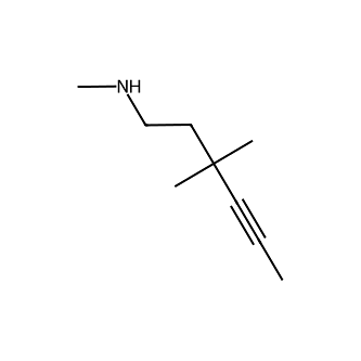 CC#CC(C)(C)CCNC